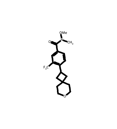 CON(C)C(=O)c1ccc(C2CC3(CCOCC3)C2)c(C(F)(F)F)c1